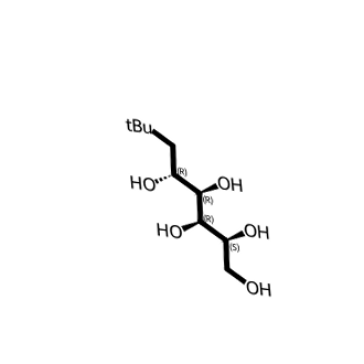 CC(C)(C)C[C@@H](O)[C@@H](O)[C@H](O)[C@@H](O)CO